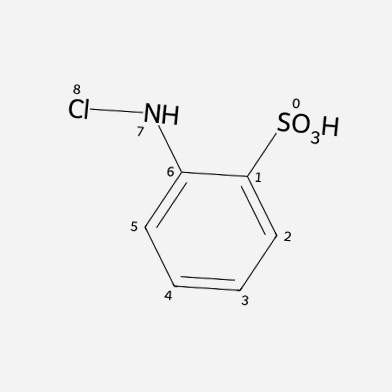 O=S(=O)(O)c1ccccc1NCl